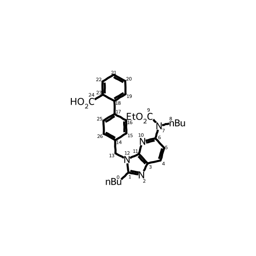 CCCCc1nc2ccc(N(CCCC)C(=O)OCC)nc2n1Cc1ccc(-c2ccccc2C(=O)O)cc1